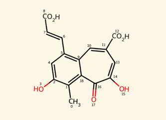 Cc1c(O)cc(/C=C/C(=O)O)c2cc(C(=O)O)cc(O)c(=O)c12